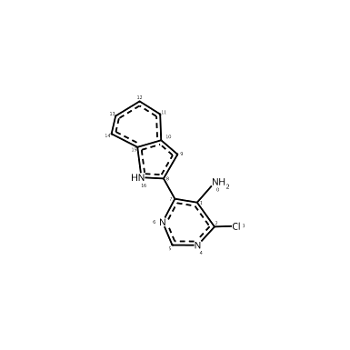 Nc1c(Cl)ncnc1-c1cc2ccccc2[nH]1